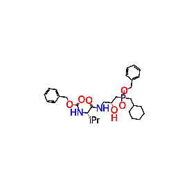 CC(C)[C@H](NC(=O)OCc1ccccc1)C(=O)NC[C@@H](O)CP(=O)(CC1CCCCC1)OCc1ccccc1